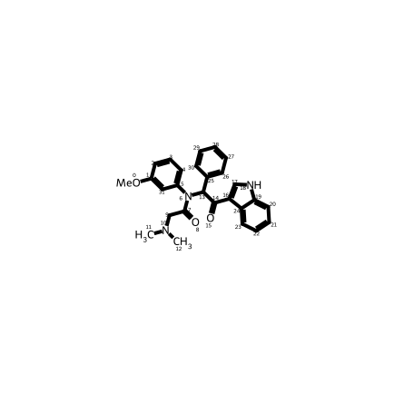 COc1cccc(N(C(=O)CN(C)C)C(C(=O)c2c[nH]c3ccccc23)c2ccccc2)c1